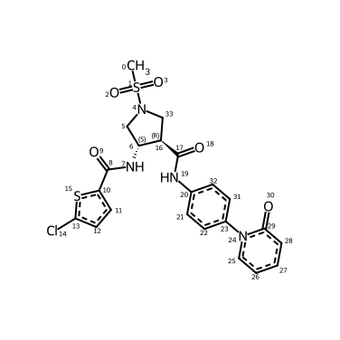 CS(=O)(=O)N1C[C@@H](NC(=O)c2ccc(Cl)s2)[C@H](C(=O)Nc2ccc(-n3ccccc3=O)cc2)C1